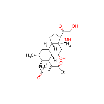 CCC(=O)C1=CC(=O)C=C2[C@@H](C)C[C@@H]3[C@H](C(O)C[C@@]4(C)[C@H]3CC[C@@]4(O)C(=O)CO)[C@@]12C